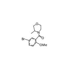 COc1ccc(Br)cc1C(=O)N1CCOCC1C